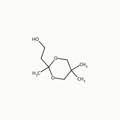 CC1(C)COC(C)(CCO)OC1